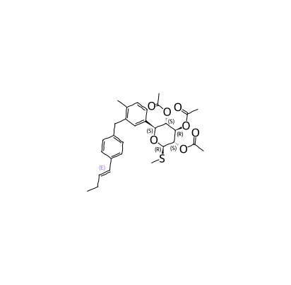 CC/C=C/c1ccc(Cc2cc([C@@H]3O[C@H](SC)[C@@H](OC(C)=O)[C@H](OC(C)=O)[C@H]3OC(C)=O)ccc2C)cc1